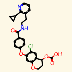 O=C(O)OC1CCOc2cc(Oc3ccc(C(=O)NCCc4cccnc4C4CC4)cc3)c(Cl)cc21